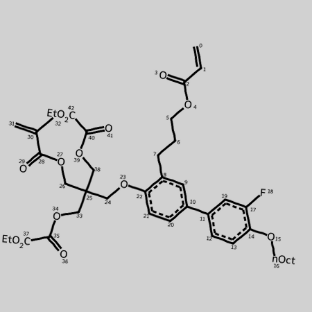 C=CC(=O)OCCCc1cc(-c2ccc(OCCCCCCCC)c(F)c2)ccc1OCC(COC(=O)C(=C)C)(COC(=O)C(=O)OCC)COC(=O)C(=O)OCC